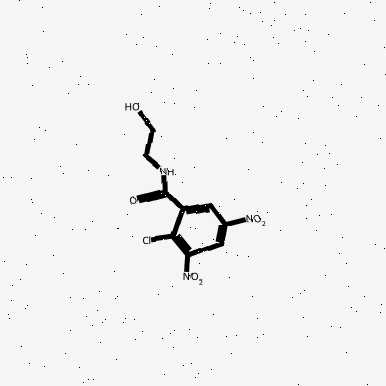 O=C(NCCO)c1cc([N+](=O)[O-])cc([N+](=O)[O-])c1Cl